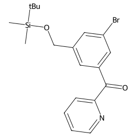 CC(C)(C)[Si](C)(C)OCc1cc(Br)cc(C(=O)c2ccccn2)c1